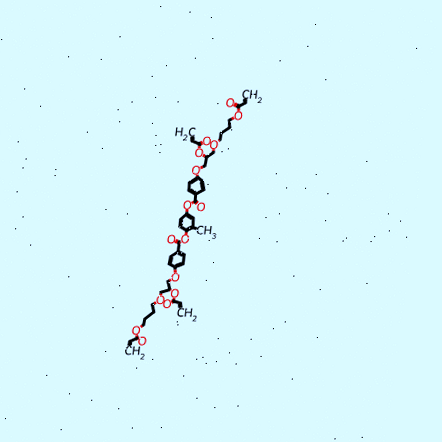 C=CC(=O)OCCCCOCC(COc1ccc(C(=O)Oc2ccc(OC(=O)c3ccc(OCC(COCCCCOC(=O)C=C)OC(=O)C=C)cc3)c(C)c2)cc1)OC(=O)C=C